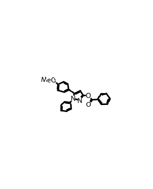 COc1ccc(-c2cc(OC(=O)c3ccccc3)nn2-c2ccccc2)cc1